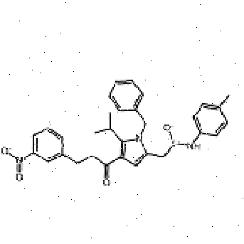 Cc1ccc(N[S+]([O-])Cc2cc(C(=O)CCc3cccc([N+](=O)[O-])c3)c(C(C)C)n2Cc2ccccc2)cc1